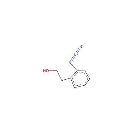 [N-]=[N+]=Nc1ccccc1CCO